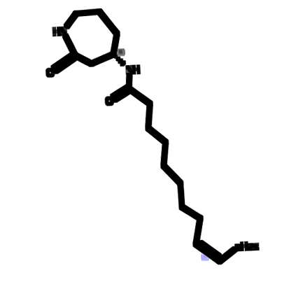 CCCCCC/C=C\CCCCCCCC(=O)N[C@H]1CCCNC(=O)C1